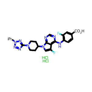 CC(C)n1nnc(N2CCC(n3cc(F)c4c(Nc5ccc(C(=O)O)cc5F)ncnc43)CC2)n1.Cl.Cl